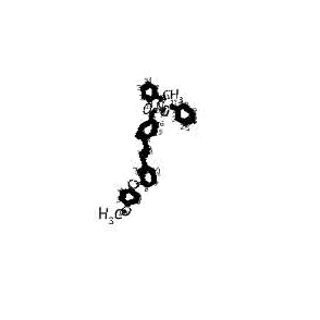 COc1ccc(Oc2cccc(C=Cc3ccc(C(=O)N(OCc4ccccc4)C(C)c4ccccc4)cc3)c2)cc1